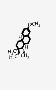 CC[C@H]1[C@@H]2CCc3cc(OC)ccc3[C@H]2CC[C@@]1(C)CC